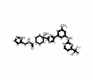 Cc1cc(Nc2nccc(C(F)(F)F)n2)cc(-c2cnc([C@]3(O)CC[C@H](C(=O)NCc4ccn[nH]4)CC3)s2)c1